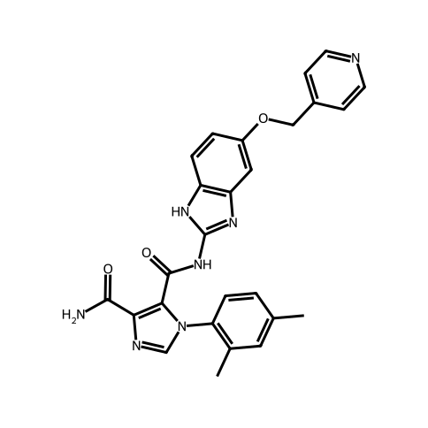 Cc1ccc(-n2cnc(C(N)=O)c2C(=O)Nc2nc3cc(OCc4ccncc4)ccc3[nH]2)c(C)c1